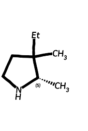 CCC1(C)CCN[C@H]1C